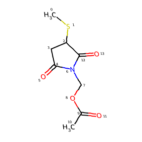 CSC1CC(=O)N(COC(C)=O)C1=O